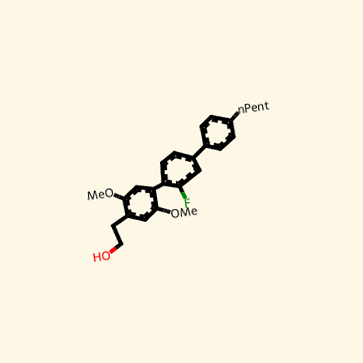 CCCCCc1ccc(-c2ccc(-c3cc(OC)c(CCO)cc3OC)c(F)c2)cc1